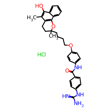 Cc1c2c(c3ccccc3c1O)OC(C)(CCCCOc1ccc(NC(=O)c3ccc(NC(=N)N)cc3)cc1)CC2.Cl